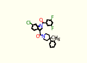 CC(=O)c1ccccc1C1(C)CCN(C(=O)c2cn(C(=O)c3cc(F)cc(F)c3)c3cc(Cl)ccc23)CC1